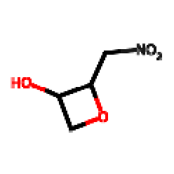 O=[N+]([O-])CC1OCC1O